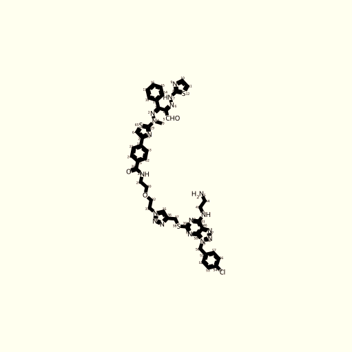 CN(/N=C(\C(C=O)=N/Nc1nccs1)c1ccccc1)c1nc(-c2ccc(C(=O)NCCOCCn3cc(CSc4nc(NCCN)c5nnn(Cc6ccc(Cl)cc6)c5n4)nn3)cc2)cs1